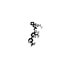 CC(N)(COc1ccc(-c2ccnc(C(F)F)c2)nc1C(F)F)CC1(F)CCC1